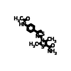 CC(=O)Nc1ccc(-c2csc(N3C(C)=C(C(N)=O)SC3C)n2)cc1